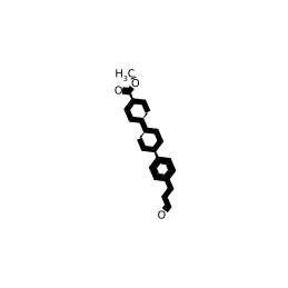 COC(=O)[C@H]1CC[C@H]([C@H]2CC[C@H](c3ccc(CCC=O)cc3)CC2)CC1